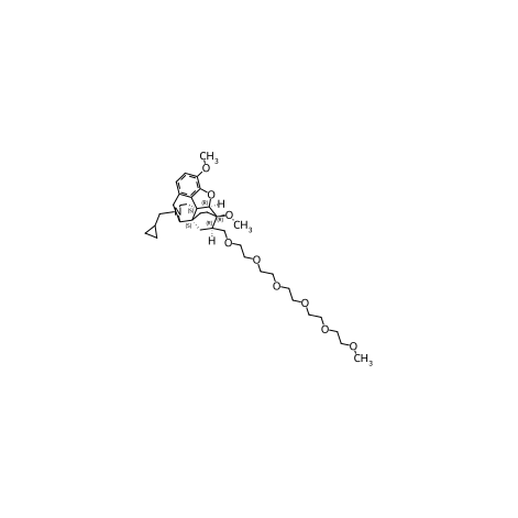 COCCOCCOCCOCCOCCOC[C@H]1C[C@@]23CC[C@]1(OC)[C@@H]1Oc4c(OC)ccc5c4[C@@]12CCN(CC1CC1)C3C5